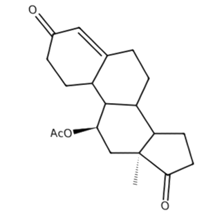 CC(=O)O[C@@H]1C[C@]2(C)C(=O)CCC2C2CCC3=CC(=O)CCC3C21